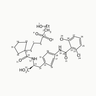 CCO.CS(=O)(=O)CCCC1(C(=O)N[C@@H](Cc2ccc(NC(=O)c3c(Cl)cccc3Cl)cc2)C(=O)O)CCCC1